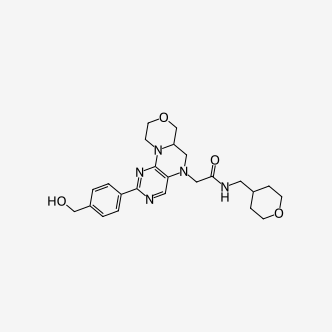 O=C(CN1CC2COCCN2c2nc(-c3ccc(CO)cc3)ncc21)NCC1CCOCC1